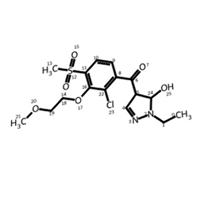 CCN1N=CC(C(=O)c2ccc(S(C)(=O)=O)c(OCCOC)c2Cl)C1O